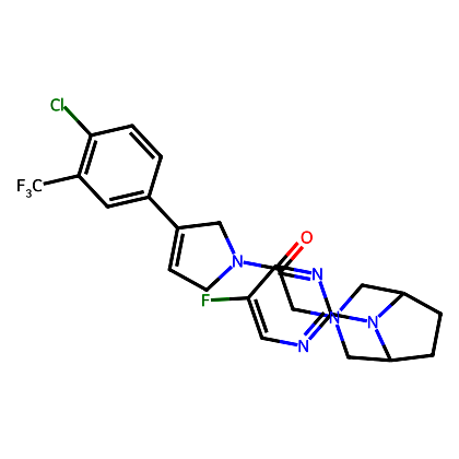 O=C(CN1CC2CCC(C1)N2c1ncc(F)cn1)N1CC=C(c2ccc(Cl)c(C(F)(F)F)c2)C1